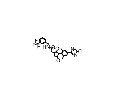 Cc1cc(-c2cnc(Cl)cn2)cc(C)c1C1C(=O)CC(CC(=O)NCc2cccc(C(F)(F)F)c2)C1=O